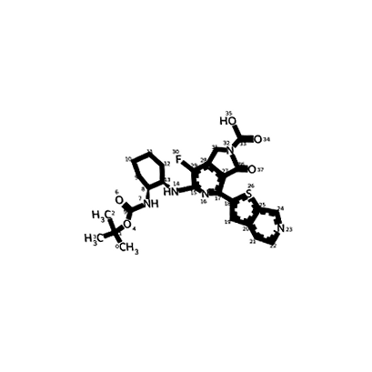 CC(C)(C)OC(=O)N[C@H]1CCCC[C@H]1Nc1nc(-c2cc3ccncc3s2)c2c(c1F)CN(C(=O)O)C2=O